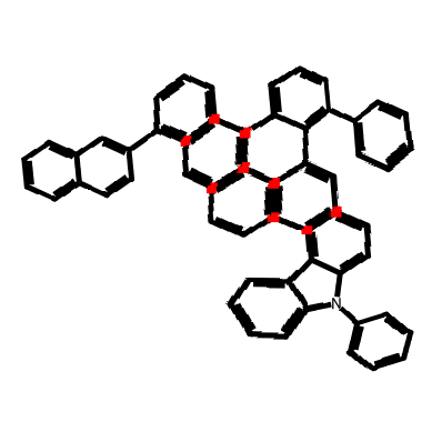 c1ccc(-c2ccccc2-c2c(-c3ccccc3)cccc2N(c2cccc(-c3ccc4ccccc4c3)c2)c2cccc(-c3cccc4c3c3ccccc3n4-c3ccccc3)c2)cc1